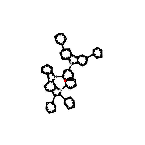 c1ccc(-c2ccc3c(c2)c2cc(-c4ccccc4)ccc2n3-c2cccc(-n3c4ccccc4c4ccc5c(-c6ccccc6)c(-c6ccccc6)n(-c6ccccc6)c5c43)c2)cc1